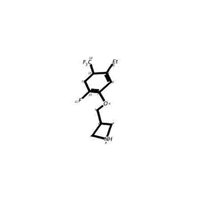 CCC1=CC(OCC2CNC2)=C(F)CC1C(F)(F)F